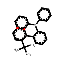 CC(C)(C)c1ccccc1-c1ccccc1B(c1ccccc1)c1ccccc1